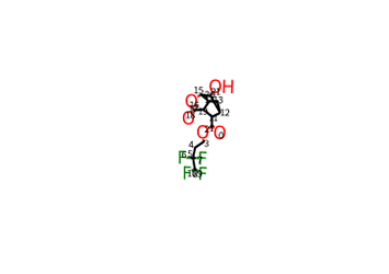 O=C(OCCC(F)(F)C(F)F)C1C2CC3C(OC(=O)C31)C2O